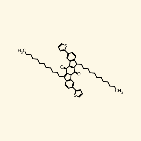 CCCCCCCCCCCCC1=C2C(=O)C3=C(C(=O)C2c2cc(-c4cccs4)ccc21)C(CCCCCCCCCCCC)c1ccc(-c2cccs2)cc13